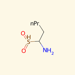 CCCCC(N)[SH](=O)=O